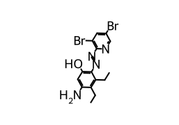 CCc1c(N)cc(O)c(N=Nc2ncc(Br)cc2Br)c1CC